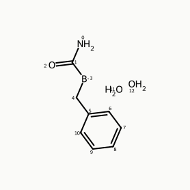 NC(=O)[B]Cc1ccccc1.O.O